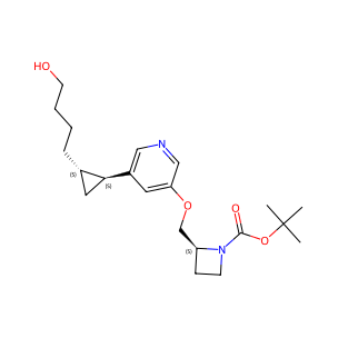 CC(C)(C)OC(=O)N1CC[C@H]1COc1cncc([C@H]2C[C@@H]2CCCCO)c1